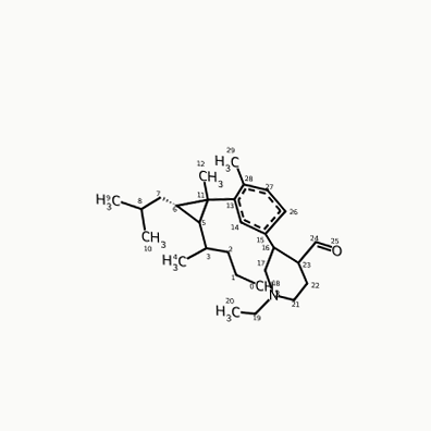 CCCC(C)C1[C@H](CC(C)C)C1(C)c1cc(C2CN(CC)CCC2C=O)ccc1C